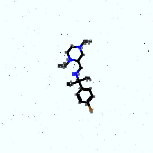 CC(C)(NCC1CN(C(=O)O)CCN1C(=O)O)c1ccc(Br)cc1